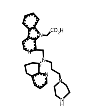 O=C(O)Cn1c2ccccc2c2ccnc(CN(CCCN3CCNCC3)[C@H]3CCCc4cccnc43)c21